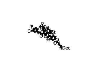 CCCCCCCCCCCCCC(=O)Oc1ccc(CC(=O)Oc2c3n(c4c(C(=O)N(C)C)nn(Cc5ccc(F)c(Cl)c5)c(=O)c24)[C@H](C)CN(CC)C3=O)cc1